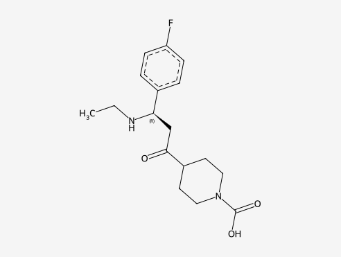 CCN[C@H](CC(=O)C1CCN(C(=O)O)CC1)c1ccc(F)cc1